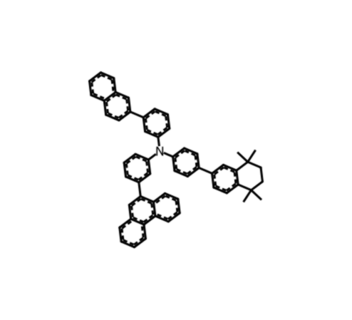 CC1(C)CCC(C)(C)c2cc(-c3ccc(N(c4cccc(-c5ccc6ccccc6c5)c4)c4cccc(-c5cc6ccccc6c6ccccc56)c4)cc3)ccc21